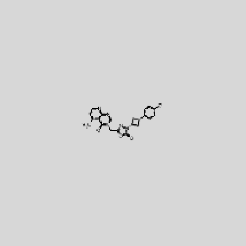 Cc1ccnc2ncn(Cc3nn([C@H]4C[C@H](c5ccc(Cl)cc5)C4)c(=O)o3)c(=O)c12